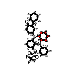 O=S(=O)(Oc1cccc(N(c2ccccc2)c2ccc3oc4ccccc4c3c2)c1N(c1ccccc1)c1ccccc1)C(F)(F)F